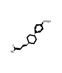 CCCCCCCc1ccc([C@H]2CC[C@H](C=CC=C(F)C#N)CC2)cc1